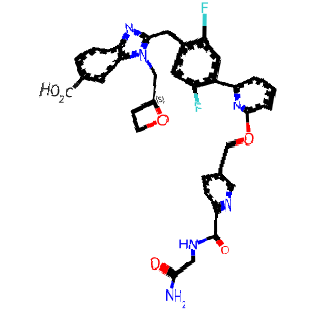 NC(=O)CNC(=O)c1ccc(COc2cccc(-c3cc(F)c(Cc4nc5ccc(C(=O)O)cc5n4C[C@@H]4CCO4)cc3F)n2)cn1